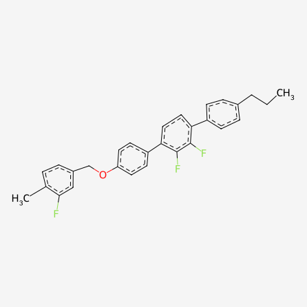 CCCc1ccc(-c2ccc(-c3ccc(OCc4ccc(C)c(F)c4)cc3)c(F)c2F)cc1